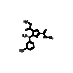 CNC(=O)c1cc(C(=O)OC)n([C@@H](C)c2cccc(C)c2)n1